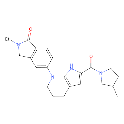 CCN1Cc2cc(N3CCCc4cc(C(=O)N5CCC(C)C5)[nH]c43)ccc2C1=O